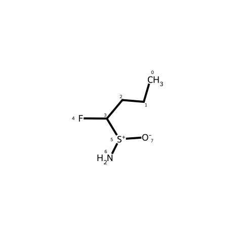 CCCC(F)[S+](N)[O-]